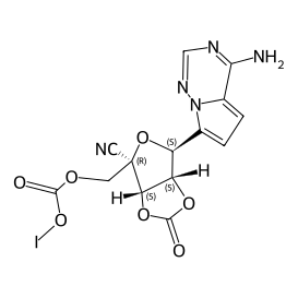 N#C[C@]1(COC(=O)OI)O[C@@H](c2ccc3c(N)ncnn23)[C@@H]2OC(=O)O[C@@H]21